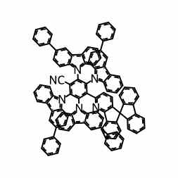 N#Cc1c(-n2c3ccccc3c3cc(-c4ccccc4)ccc32)c(-n2c3ccccc3c3cc(-c4ccccc4)ccc32)c(-c2ccc3c(n2)-c2ccccc2C32c3ccccc3-c3ccccc32)c(-n2c3ccccc3c3cc(-c4ccccc4)ccc32)c1-n1c2ccccc2c2cc(-c3ccccc3)ccc21